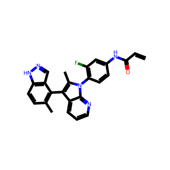 C=CC(=O)Nc1ccc(-n2c(C)c(-c3c(C)ccc4[nH]ncc34)c3cccnc32)c(F)c1